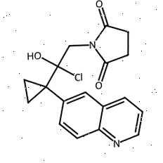 O=C1CCC(=O)N1CC(O)(Cl)C1(c2ccc3ncccc3c2)CC1